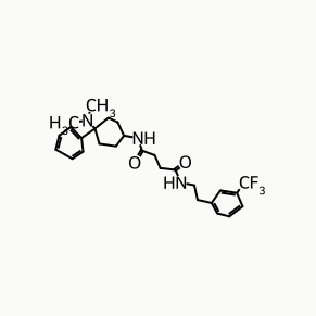 CN(C)C1(c2ccccc2)CCC(NC(=O)CCC(=O)NCCc2cccc(C(F)(F)F)c2)CC1